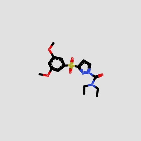 CCN(CC)C(=O)n1ccc(S(=O)(=O)c2cc(OC)cc(OC)c2)n1